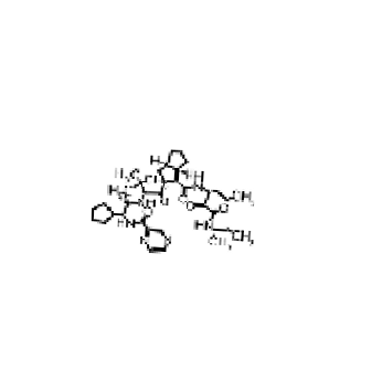 CCC[C@H](NC(=O)[C@H]1C(C(=O)[C@@H](NC(=O)[C@@H](NC(=O)c2cnccn2)C2CCCC2)C(C)(C)C)C[C@@H]2CCC[C@@H]21)C(=O)C(=O)N[C@@H](C)CC